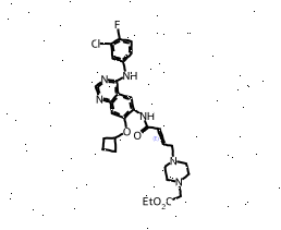 CCOC(=O)CN1CCN(C/C=C/C(=O)Nc2cc3c(Nc4ccc(F)c(Cl)c4)ncnc3cc2OC2CCC2)CC1